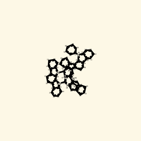 c1ccc(-c2cccc(-n3c4ccccc4c4ccc5c6ccccc6n(-c6nc(-c7ccccc7)nc(-n7c8ccccc8c8c7ccc7c9ccccc9n(-c9ccccc9)c78)n6)c5c43)n2)cc1